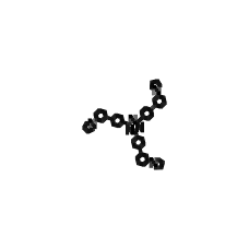 c1cc(-c2ccc(-c3nc(-c4ccc(-c5cccc(-n6cccc6)c5)cc4)nc(-c4ccc(-c5cccc(-n6cccc6)c5)cc4)n3)cc2)cc(-n2cccc2)c1